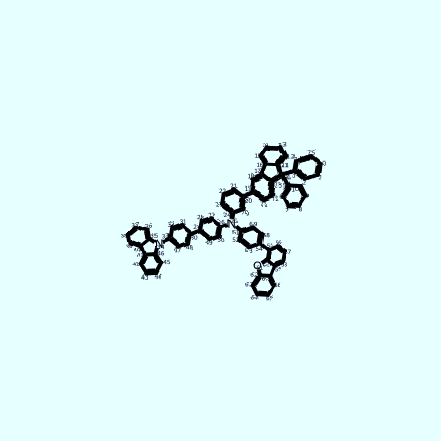 c1ccc(C2(c3ccccc3)c3ccccc3-c3cc(-c4cccc(N(c5ccc(-c6ccc(-n7c8ccccc8c8ccccc87)cc6)cc5)c5ccc(-c6cccc7c6oc6ccccc67)cc5)c4)ccc32)cc1